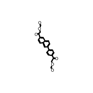 O=COCC(=O)c1ccc(-c2ccc3cc(C(=O)COC=O)ccc3c2)cc1